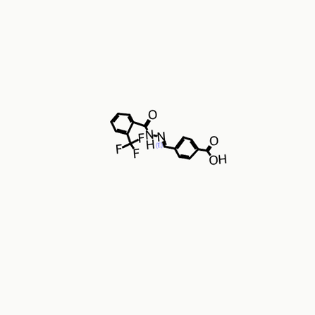 O=C(O)c1ccc(/C=N/NC(=O)c2ccccc2C(F)(F)F)cc1